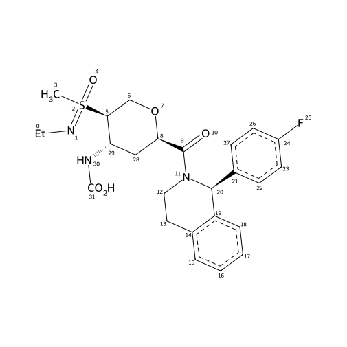 CCN=S(C)(=O)[C@H]1CO[C@@H](C(=O)N2CCc3ccccc3[C@@H]2c2ccc(F)cc2)C[C@@H]1NC(=O)O